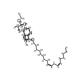 CCCCC/C=C\C/C=C\CCCCCCCCOc1c2ncnc(SC(C)C(=O)OCC)c2nn1C